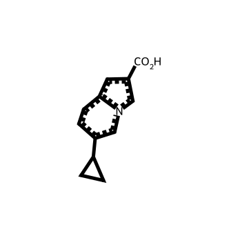 O=C(O)c1cc2ccc(C3CC3)cn2c1